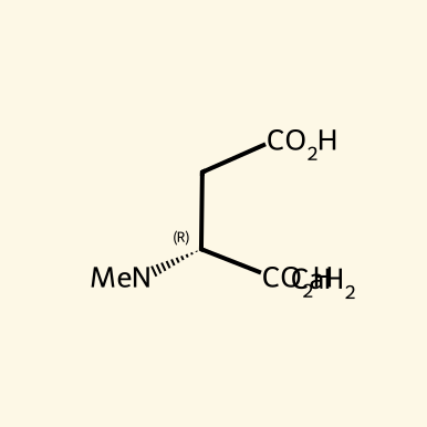 CN[C@H](CC(=O)O)C(=O)O.[CaH2]